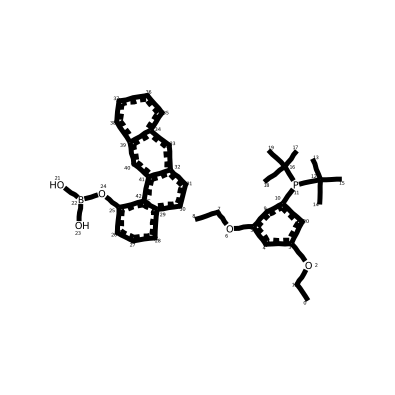 CCOc1cc(OCC)cc(P(C(C)(C)C)C(C)(C)C)c1.OB(O)Oc1cccc2ccc3cc4ccccc4cc3c12